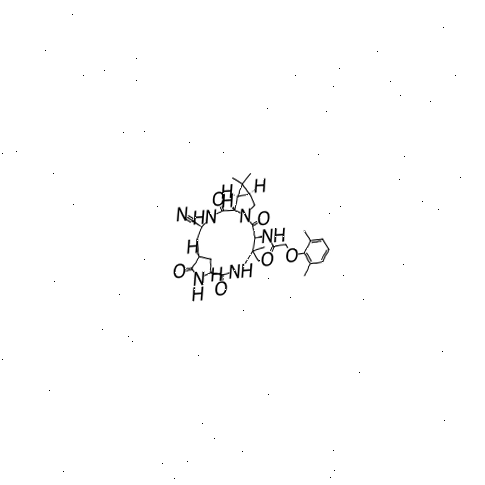 Cc1cccc(C)c1OCC(=O)N[C@@H]1C(=O)N2C[C@H]3[C@@H]([C@H]2C(=O)N[C@H](C#N)C[C@H]2C[C@H](NC2=O)C(=O)NCC1(C)C)C3(C)C